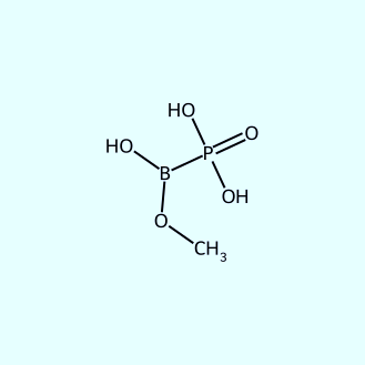 COB(O)P(=O)(O)O